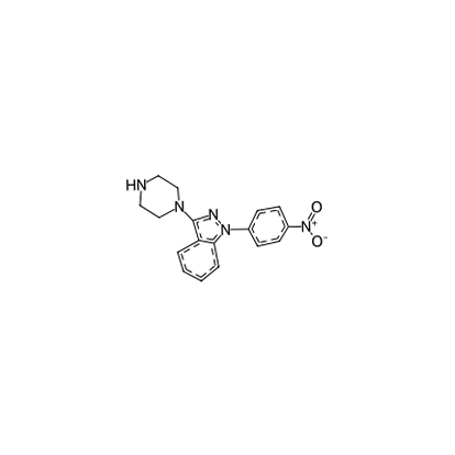 O=[N+]([O-])c1ccc(-n2nc(N3CCNCC3)c3ccccc32)cc1